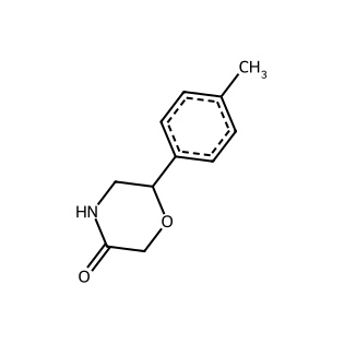 Cc1ccc(C2CNC(=O)CO2)cc1